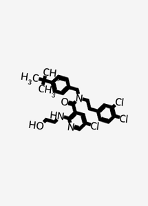 CC(C)(C)c1ccc(CN(CCc2ccc(Cl)c(Cl)c2)C(=O)c2cc(Cl)cnc2NCCO)cc1